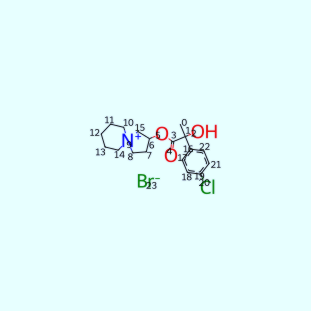 CC(O)(C(=O)OC1CC[N+]2(CCCCC2)C1)c1ccc(Cl)cc1.[Br-]